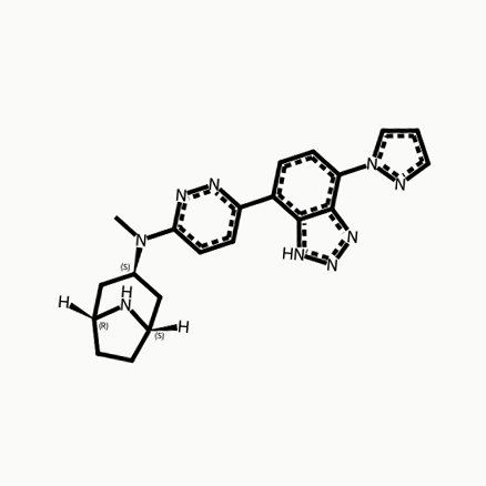 CN(c1ccc(-c2ccc(-n3cccn3)c3nn[nH]c23)nn1)[C@@H]1C[C@H]2CC[C@@H](C1)N2